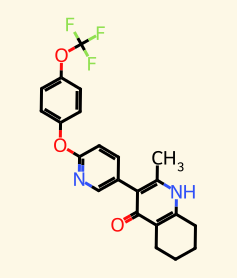 Cc1[nH]c2c(c(=O)c1-c1ccc(Oc3ccc(OC(F)(F)F)cc3)nc1)CCCC2